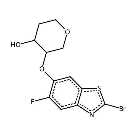 OC1CCOCC1Oc1cc2sc(Br)nc2cc1F